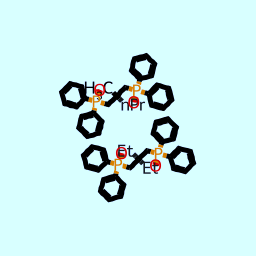 CCC(CC)(CP(=O)(c1ccccc1)c1ccccc1)CP(=O)(c1ccccc1)c1ccccc1.CCCC(C)(CP(=O)(c1ccccc1)c1ccccc1)CP(=O)(c1ccccc1)c1ccccc1